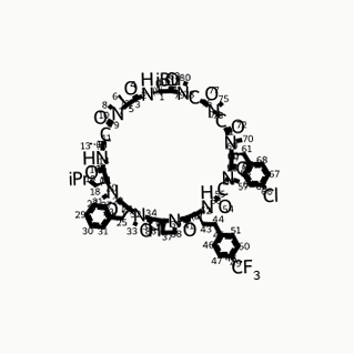 CC[C@H](C)[C@@H]1NC(=O)[C@H](C)N(C)C(=O)C[C@@H](C)NC(=O)[C@H](CC(C)C)N(C)C(=O)[C@H](Cc2ccccc2)N(C)C(=O)[C@@H]2CCN2C(=O)[C@H](CCc2ccc(C(F)(F)F)cc2)NC(=O)CN(C)C(=O)[C@H](Cc2ccc(Cl)cc2)N(C)C(=O)CN(C)C(=O)CN(C)C1=O